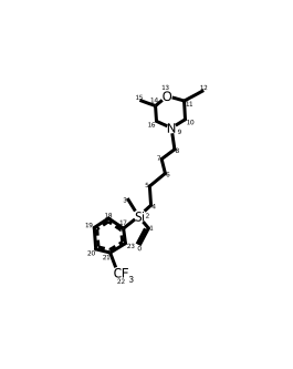 C=C[Si](C)(CCCCCN1CC(C)OC(C)C1)c1cccc(C(F)(F)F)c1